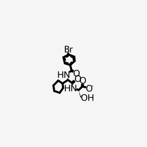 COC(=O)[C@H](CO)NC(=O)[C@@H](NC(=O)c1ccc(Br)cc1)C1CCCCC1